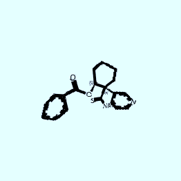 CNC(=S)[C@@]1(c2cccnc2)CCCC[C@@H]1OC(=O)c1ccccc1